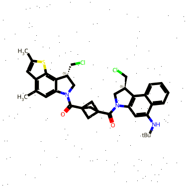 Cc1cc2c(C)cc3c(c2s1)[C@H](CCl)CN3C(=O)C12CC(C(=O)N3C[C@@H](CCl)c4c3cc(NC(C)(C)C)c3ccccc43)(C1)C2